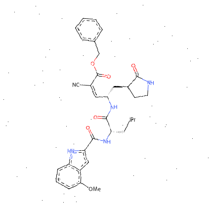 COc1cccc2[nH]c(C(=O)N[C@@H](CC(C)C)C(=O)N[C@H](/C=C(/C#N)C(=O)OCc3ccccc3)C[C@@H]3CCNC3=O)cc12